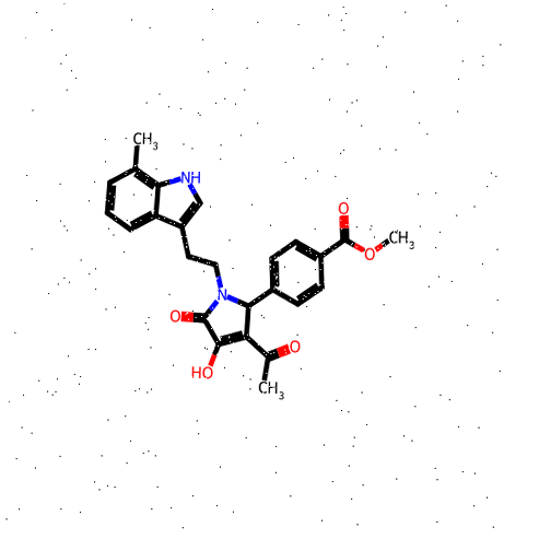 COC(=O)c1ccc(C2C(C(C)=O)=C(O)C(=O)N2CCc2c[nH]c3c(C)cccc23)cc1